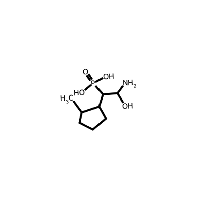 CC1CCCC1C(C(N)O)P(=O)(O)O